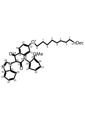 CCCCCCCCCCCCCCCCCCOc1ccc(C(=O)C(C(=O)Nc2ccccc2OC)n2cnc3ccccc32)cc1